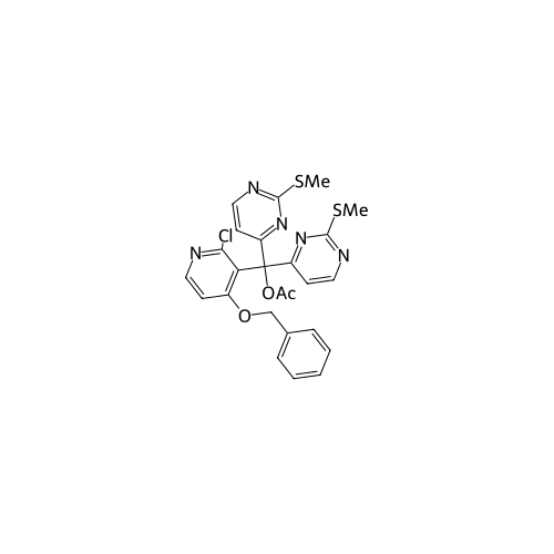 CSc1nccc(C(OC(C)=O)(c2ccnc(SC)n2)c2c(OCc3ccccc3)ccnc2Cl)n1